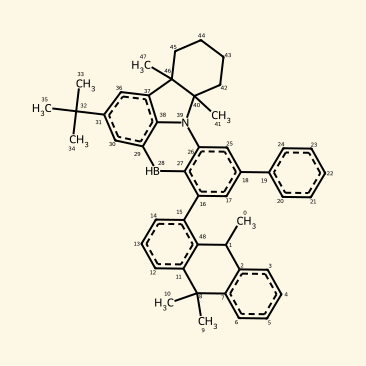 CC1c2ccccc2C(C)(C)c2cccc(-c3cc(-c4ccccc4)cc4c3Bc3cc(C(C)(C)C)cc5c3N4C3(C)CCCCC53C)c21